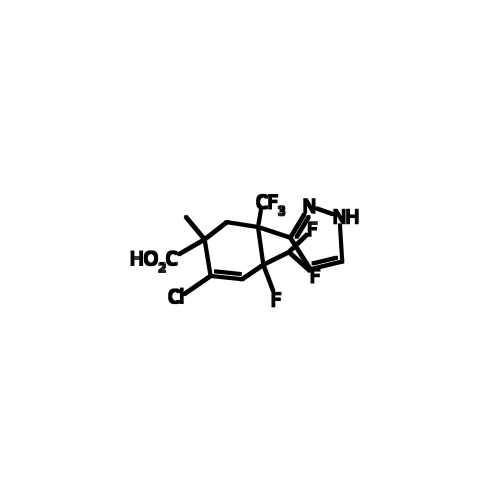 CC1(C(=O)O)CC(c2cc[nH]n2)(C(F)(F)F)C(F)(C(F)F)C=C1Cl